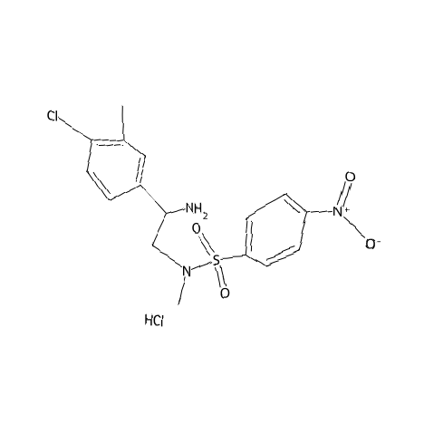 Cc1cc(C(N)CN(C)S(=O)(=O)c2ccc([N+](=O)[O-])cc2)ccc1Cl.Cl